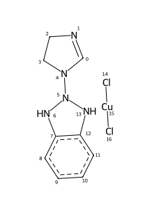 C1=NCCN1N1Nc2ccccc2N1.[Cl][Cu][Cl]